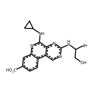 CC(C)C(CO)Nc1ncc2c(n1)c(NC1CC1)nc1cc(C(=O)O)ccc12